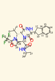 CC(C)C[C@@H]1C(=O)NC(C2Cc3ccccc3C2)C(=O)N1[C@@H](C(=O)NC(C)C)c1coc(C(F)(F)F)n1